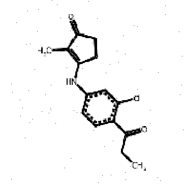 CCC(=O)c1ccc(NC2=C(C)C(=O)CC2)cc1Cl